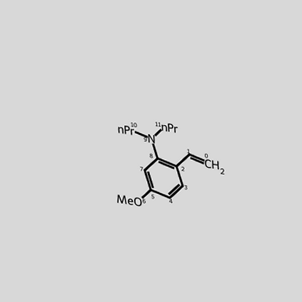 C=Cc1ccc(OC)cc1N(CCC)CCC